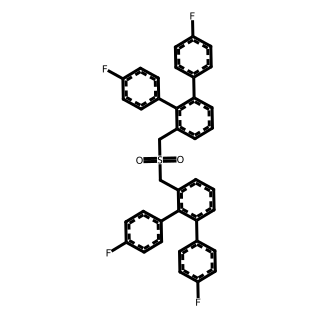 O=S(=O)(Cc1cccc(-c2ccc(F)cc2)c1-c1ccc(F)cc1)Cc1cccc(-c2ccc(F)cc2)c1-c1ccc(F)cc1